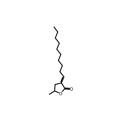 CCCCCCCCC/C=C1\CC(C)OC1=O